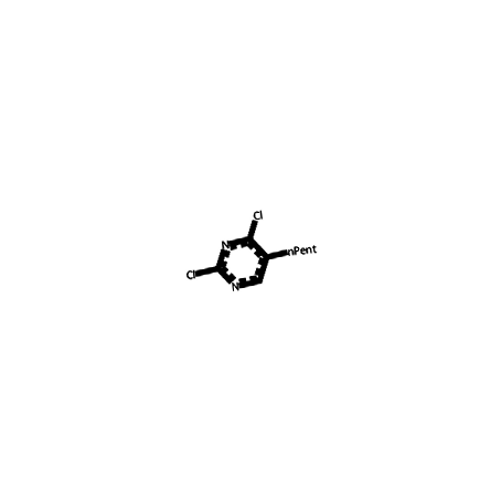 CCCCCc1cnc(Cl)nc1Cl